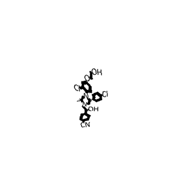 C[C@@H]1CN(c2ccc(OCCO)cc2Cl)[C@H](c2ccc(Cl)cc2)CN1C[C@@H](O)c1ccc(C#N)cc1